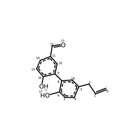 C=CCc1ccc(O)c(-c2cc(C=O)ccc2O)c1